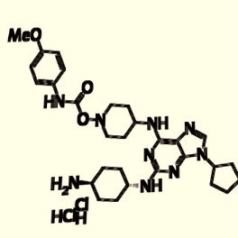 COc1ccc(NC(=O)ON2CCC(Nc3nc(N[C@H]4CC[C@H](N)CC4)nc4c3ncn4C3CCCC3)CC2)cc1.Cl.Cl